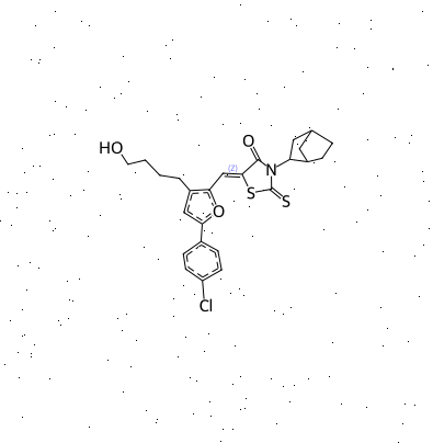 O=C1/C(=C/c2oc(-c3ccc(Cl)cc3)cc2CCCCO)SC(=S)N1C1CC2CCC1C2